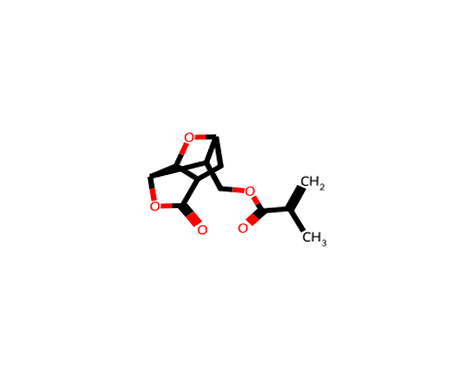 C=C(C)C(=O)OCC1C2CC3C(=O)OC1C3O2